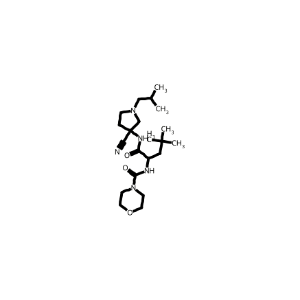 CC(C)CN1CCC(C#N)(NC(=O)C(CC(C)(C)C)NC(=O)N2CCOCC2)C1